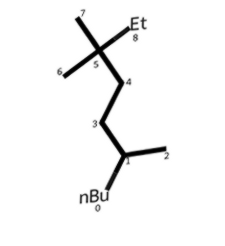 [CH2]CCCC(C)CCC(C)(C)CC